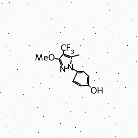 COc1nn(-c2ccc(O)cc2)c(C)c1C(F)(F)F